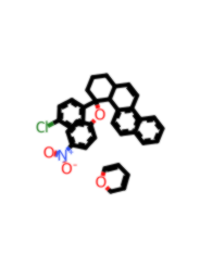 C1=CCOC=C1.O=[N+]([O-])c1ccc(OC2(c3ccc(Cl)cc3)CCCC3C=Cc4c(ccc5ccccc45)C32)cc1